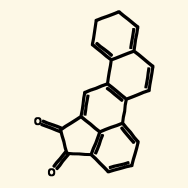 O=C1C(=O)c2cc3c4c(ccc3c3cccc1c23)=CCCC=4